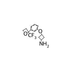 NC1CC(Oc2cccc([C@@]3(C(F)(F)F)CCO3)c2)C1